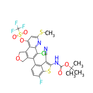 CSc1cc(OS(=O)(=O)C(F)(F)F)c2c3c(c(-c4ccc(F)c5sc(NC(=O)OC(C)(C)C)c(C#N)c45)c(Cl)c2n1)COC3